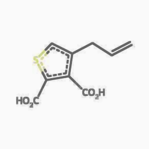 C=CCc1csc(C(=O)O)c1C(=O)O